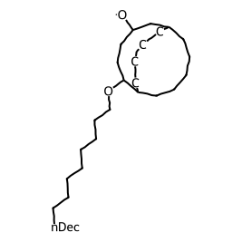 [CH2]CCCCCCCCCCCCCCCCCOC1CCC([O])CC2CCCCCC1CCCCC2